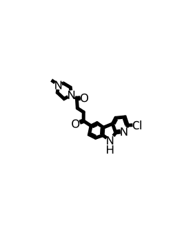 CN1CCN(C(=O)CCC(=O)c2ccc3[nH]c4nc(Cl)ccc4c3c2)CC1